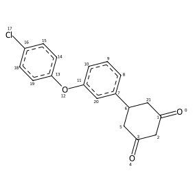 O=C1CC(=O)CC(c2cccc(Oc3ccc(Cl)cc3)c2)C1